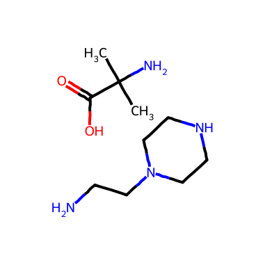 CC(C)(N)C(=O)O.NCCN1CCNCC1